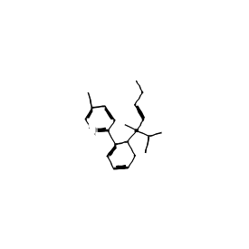 CCC=CC(C)(C(C)C)C1CC=CC=C1c1ccc(C)cn1